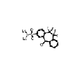 CCN(CC)S(=O)(=O)c1ccc2c(c1)C(Cl)c1ccccc1C(F)(F)C2(F)F